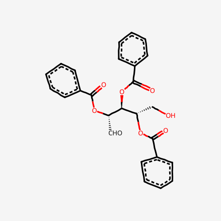 O=C[C@H](OC(=O)c1ccccc1)[C@@H](OC(=O)c1ccccc1)[C@H](CO)OC(=O)c1ccccc1